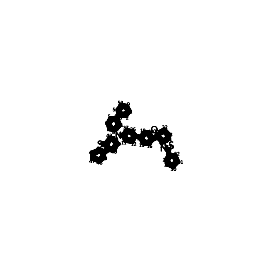 c1ccc(-c2cccc(N(c3ccc(-c4ccc5c(c4)oc4ccc6sc(-c7ccccc7)nc6c45)cc3)c3ccc4c(c3)sc3ccccc34)c2)cc1